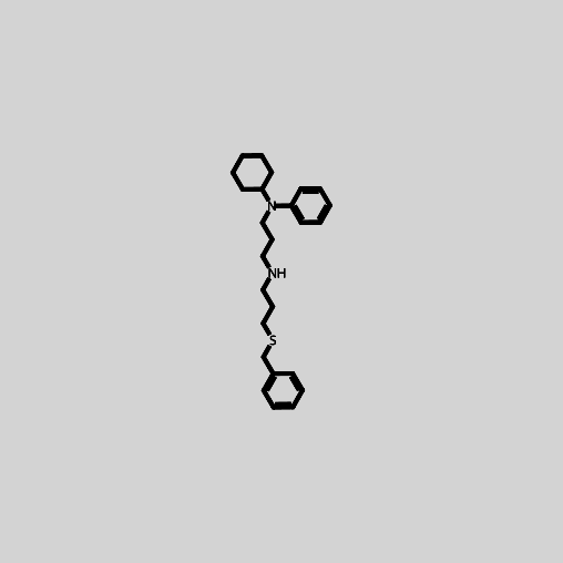 c1ccc(CSCCCNCCCN(c2ccccc2)C2CCCCC2)cc1